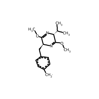 [CH2]c1ccc(C[C@@H]2N=C(OC)[C@@H](C(C)C)N=C2OC)cc1